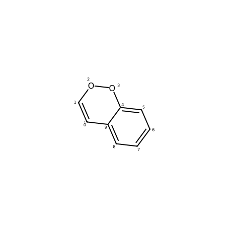 [C]1=COOc2ccccc21